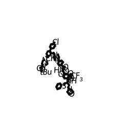 CC1(CN2CCCN(C(=O)OC(C)(C)C)CC2)CCC(c2ccc(Cl)cc2)=C(CN2CCN(c3ccc(C(=O)NS(=O)(=O)c4ccc(NC(CCN5CCOCC5)CSc5ccccc5)c(S(=O)(=O)C(F)(F)F)c4)cc3)CC2)C1